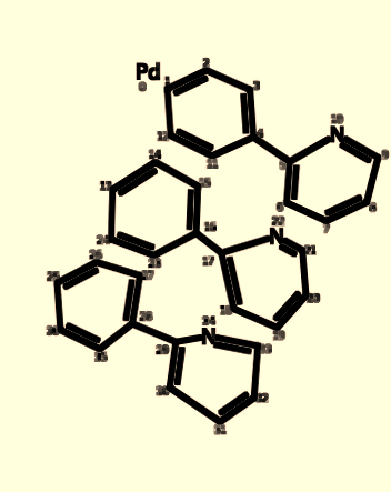 [Pd].c1ccc(-c2ccccn2)cc1.c1ccc(-c2ccccn2)cc1.c1ccc(-c2ccccn2)cc1